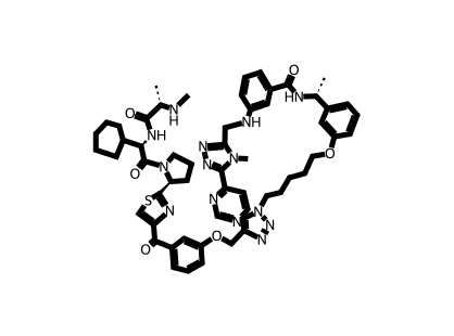 CN[C@@H](C)C(=O)N[C@H](C(=O)N1CCC[C@H]1c1nc(C(=O)c2cccc(OCc3cn(CCCCCOc4cccc([C@@H](C)NC(=O)c5cccc(NCc6nnc(-c7ccncn7)n6C)c5)c4)nn3)c2)cs1)C1CCCCC1